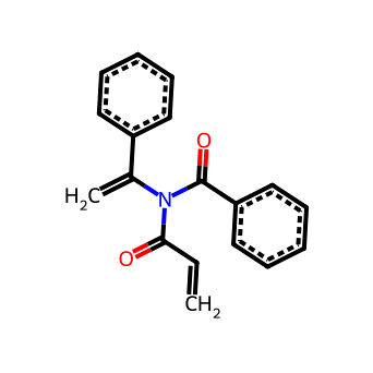 C=CC(=O)N(C(=C)c1ccccc1)C(=O)c1ccccc1